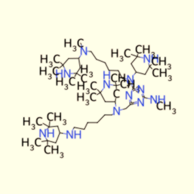 CNc1nc(CN(CCCCCCNC2CC(C)(C)NC(C)(C)C2)C2CC(C)(C)NC(C)(C)C2)nc(N(CCCCCCN(C)C2CC(C)(C)NC(C)(C)C2)C2CC(C)(C)NC(C)(C)C2)n1